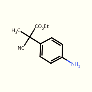 CCOC(=O)C(C)(C#N)c1ccc(N)cc1